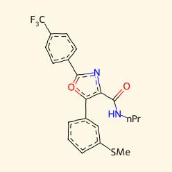 CCCNC(=O)c1nc(-c2ccc(C(F)(F)F)cc2)oc1-c1cccc(SC)c1